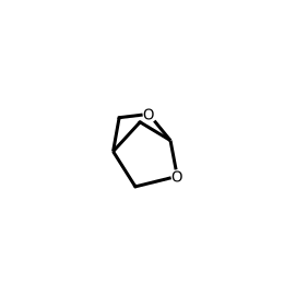 C1OC2CC1CO2